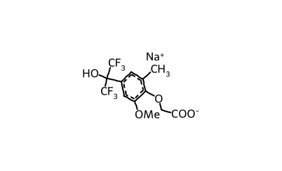 COc1cc(C(O)(C(F)(F)F)C(F)(F)F)cc(C)c1OCC(=O)[O-].[Na+]